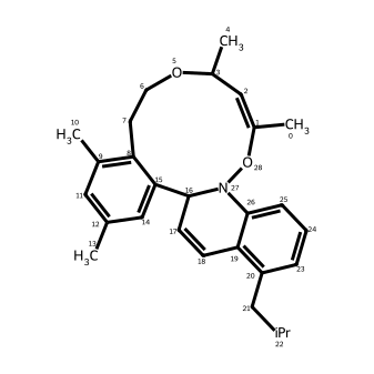 C/C1=C/C(C)OCCc2c(C)cc(C)cc2C2C=Cc3c(CC(C)C)cccc3N2O1